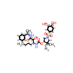 CCCC[C@H](NC(=O)O[C@@H]1CN(S(=O)(=O)c2ccc(O)c(O)c2)CC1(C)C)C(=O)C(=O)N[C@H](C)c1ccccc1